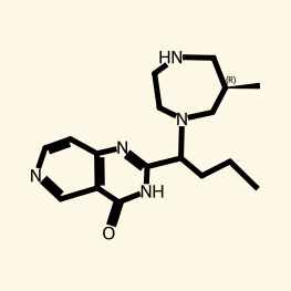 CCCC(c1nc2ccncc2c(=O)[nH]1)N1CCNC[C@@H](C)C1